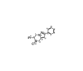 CC(C)C1Cn2nc(-c3ccccc3)cc2CN1Cl